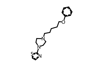 c1ccc(OCCCCCN2CCN(c3nccs3)CC2)cc1